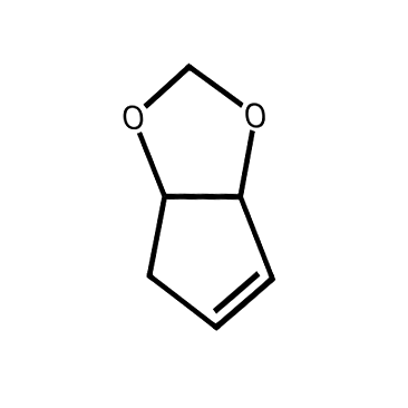 C1=CC2OCOC2C1